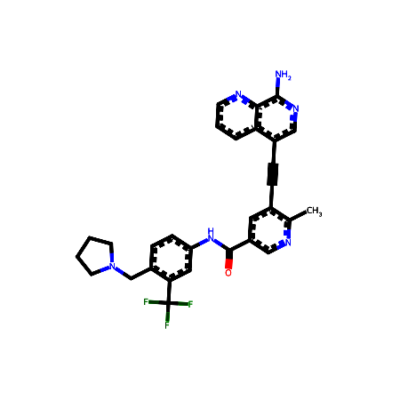 Cc1ncc(C(=O)Nc2ccc(CN3CCCC3)c(C(F)(F)F)c2)cc1C#Cc1cnc(N)c2ncccc12